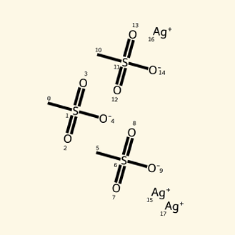 CS(=O)(=O)[O-].CS(=O)(=O)[O-].CS(=O)(=O)[O-].[Ag+].[Ag+].[Ag+]